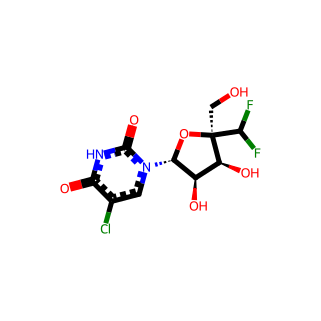 O=c1[nH]c(=O)n([C@@H]2O[C@@](CO)(C(F)F)[C@@H](O)[C@H]2O)cc1Cl